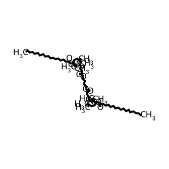 CCCCCCCCCCCCCCCCCC(=O)OC1CCC(C)(C)N(OCCC(=O)OCCCCOC(=O)CCON2C(C)(C)CCC(OC(=O)CCCCCCCCCCCCCCCCC)C2(C)C)C1(C)C